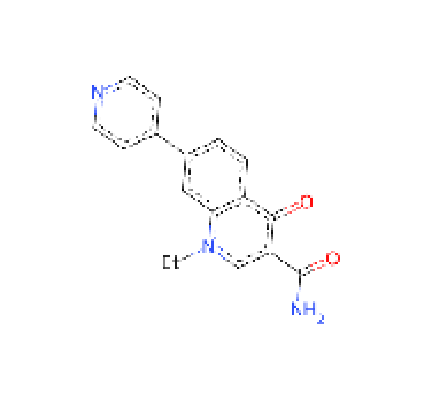 CCn1cc(C(N)=O)c(=O)c2ccc(-c3ccncc3)cc21